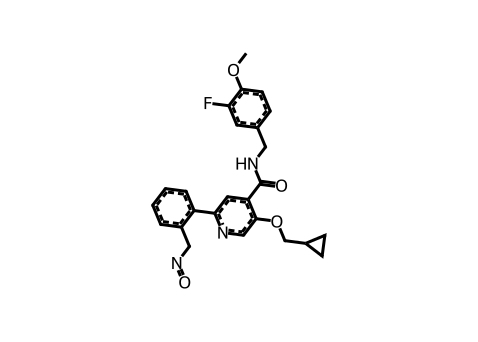 COc1ccc(CNC(=O)c2cc(-c3ccccc3CN=O)ncc2OCC2CC2)cc1F